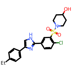 CCc1ccc(-c2c[nH]c(-c3ccc(Cl)c(S(=O)(=O)N4CCC(O)CC4)c3)n2)cc1